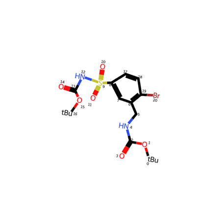 CC(C)(C)OC(=O)NCc1cc(S(=O)(=O)NC(=O)OC(C)(C)C)ccc1Br